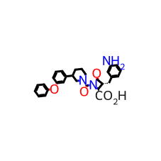 Nc1cccc(C[C@H]2C(=O)N(C(=O)N3CCCC(c4cccc(Oc5ccccc5)c4)C3)[C@@H]2C(=O)O)c1